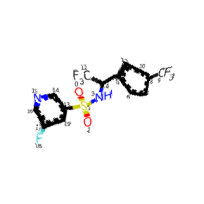 O=S(=O)(NC(c1ccc(C(F)(F)F)cc1)C(F)(F)F)c1cncc(F)c1